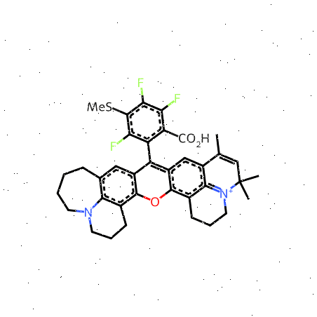 CSc1c(F)c(F)c(C(=O)O)c(C2=c3cc4c5c(c3Oc3c2cc2c6c3CCCN6CCCC2)CCC[N+]=5C(C)(C)C=C4C)c1F